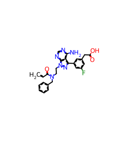 C=CC(=O)N(CCn1nc(-c2cc(F)cc(CC(=O)O)c2)c2c(N)ncnc21)Cc1ccccc1